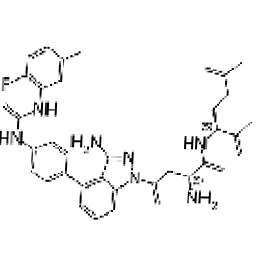 C=C(C)CC[C@H](NC(=C)[C@@H](N)CC(=C)n1nc(N)c2c(-c3ccc(NC(=C)Nc4cc(C)ccc4F)cc3)cccc21)C(=C)C